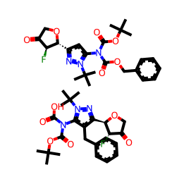 CC(C)(C)OC(=O)N(C(=O)O)c1c(Cc2ccccc2)c([C@H]2OCC(=O)[C@@H]2F)nn1C(C)(C)C.CC(C)(C)OC(=O)N(C(=O)OCc1ccccc1)c1cc([C@H]2OCC(=O)[C@@H]2F)nn1C(C)(C)C